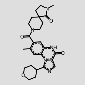 Cc1cc2c(cc1C(=O)N1CCC3(CCN(C)C3=O)CC1)[nH]c(=O)c1cnc(C3CCOCC3)n12